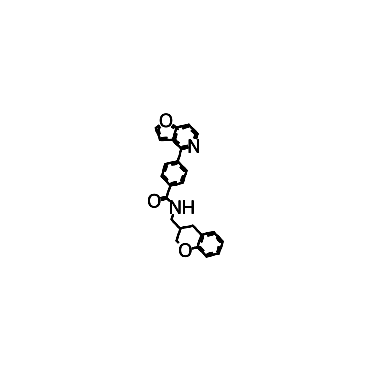 O=C(NCC1COc2ccccc2C1)c1ccc(-c2nccc3occc23)cc1